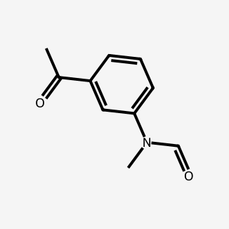 CC(=O)c1cccc(N(C)C=O)c1